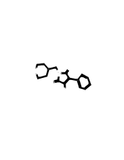 CC1=C(c2ccccc2)C(=O)N(CC2CCOCC2)C1=O